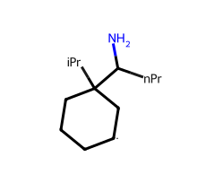 CCCC(N)C1(C(C)C)C[CH]CCC1